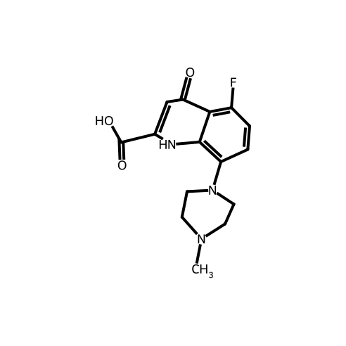 CN1CCN(c2ccc(F)c3c(=O)cc(C(=O)O)[nH]c23)CC1